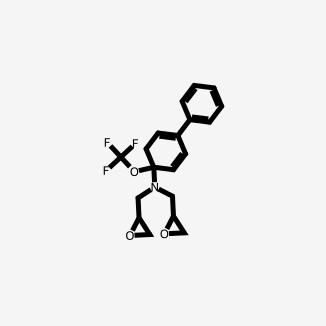 FC(F)(F)OC1(N(CC2CO2)CC2CO2)C=CC(c2ccccc2)=CC1